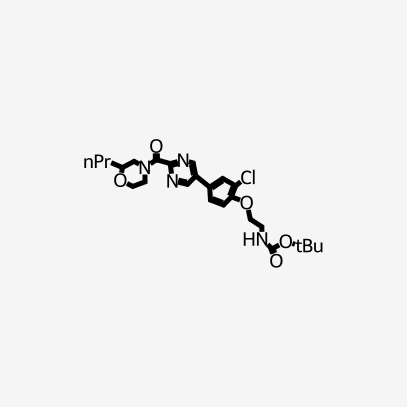 CCCC1CN(C(=O)c2ncc(-c3ccc(OCCNC(=O)OC(C)(C)C)c(Cl)c3)cn2)CCO1